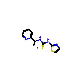 CC(NC(=S)Nc1nccs1)c1ccccn1